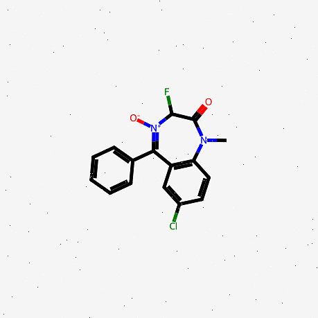 CN1C(=O)C(F)[N+]([O-])=C(c2ccccc2)c2cc(Cl)ccc21